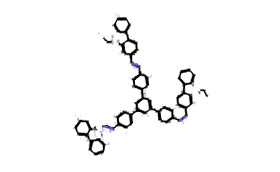 CCn1c2ccccc2c2ccc(/C=C\c3ccc(-c4cc(-c5ccc(/C=C/c6ccc7c8ccccc8n(CC)c7c6)cc5)cc(-c5ccc(/C=C/n6c7ccccc7c7ccccc76)cc5)c4)cc3)cc21